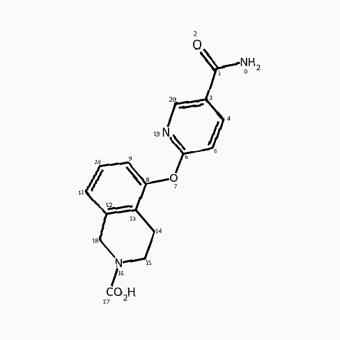 NC(=O)c1ccc(Oc2cccc3c2CCN(C(=O)O)C3)nc1